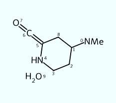 CNC1CCNC(=C=O)C1.O